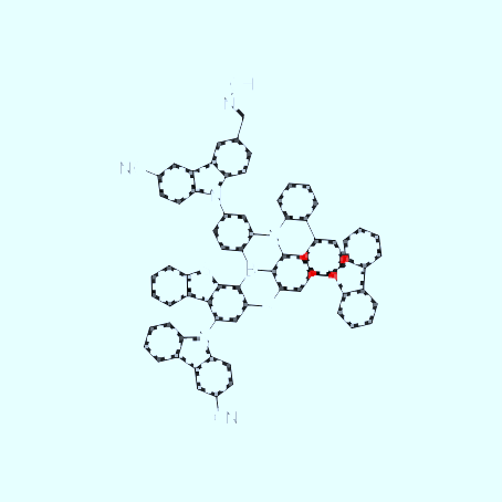 C/N=C/c1ccc2c(c1)c1cc(C#N)ccc1n2-c1ccc2c(c1)N(c1ccccc1-c1ccccc1)c1cc(-n3c4ccccc4c4ccccc43)cc3c1B2c1c(cc(-n2c4ccccc4c4cc(C#N)ccc42)c2c1sc1ccccc12)S3